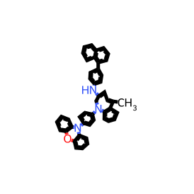 C/C1=C\C=C(\Nc2ccc(-c3cccc4ccccc34)cc2)CN(c2ccc(N3c4ccccc4Oc4ccccc43)cc2)c2ccccc21